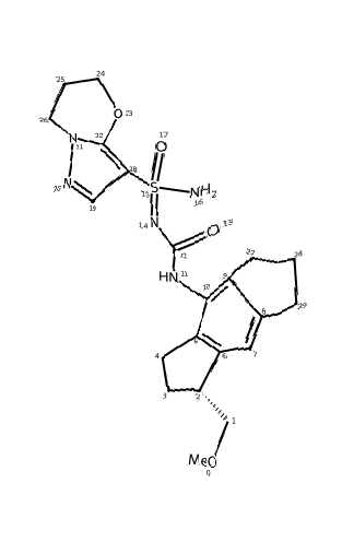 COC[C@@H]1CCc2c1cc1c(c2NC(=O)N=S(N)(=O)c2cnn3c2OCCC3)CCC1